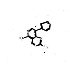 Nc1ncc2c(N)ncc(-c3ccncc3)c2n1